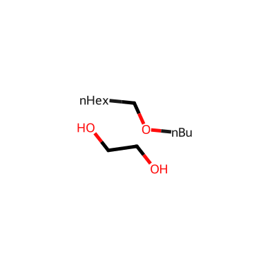 CCCCCCCOCCCC.OCCO